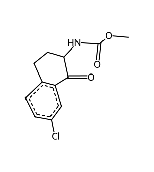 COC(=O)NC1CCc2ccc(Cl)cc2C1=O